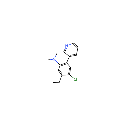 CCc1cc(N(C)C)c(-c2cccnc2)cc1Cl